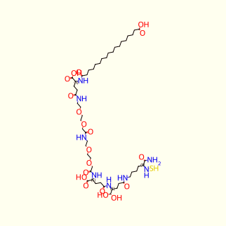 NC(=O)[C@H](CCCCNC(=O)CC[C@H](NC(=O)CC[C@H](NC(=O)COCCOCCNC(=O)COCCOCCNC(=O)CC[C@H](NC(=O)CCCCCCCCCCCCCCCCC(=O)O)C(=O)O)C(=O)O)C(O)O)NS